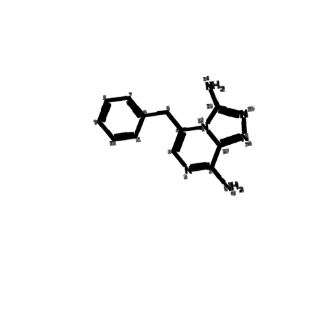 Nc1ncc(Cc2ccccc2)n2c(N)nnc12